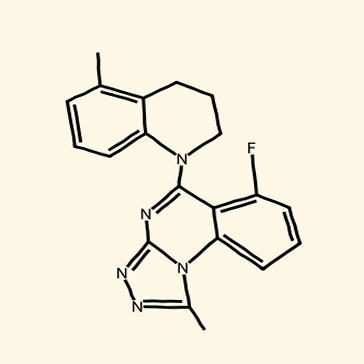 Cc1cccc2c1CCCN2c1nc2nnc(C)n2c2cccc(F)c12